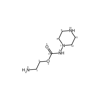 NCCOC(=O)NN1CCNCC1